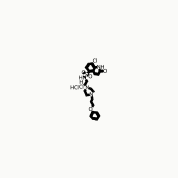 Cl.Cl.O=c1ccc2c(S(=O)(=O)NCCN3CCN(CCCOc4ccccc4)CC3)ccc(Cl)c2[nH]1